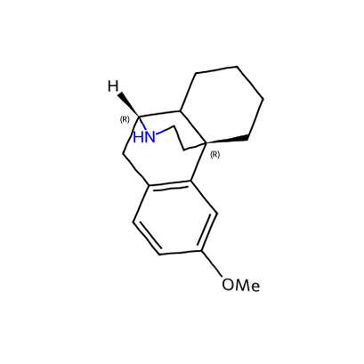 COc1ccc2c(c1)[C@@]13CCCCC1[C@@H](C2)NCC3